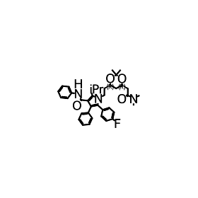 CC(C)c1c(C(=O)Nc2ccccc2)c(-c2ccccc2)c(-c2ccc(F)cc2)n1CC[C@@H]1C[C@H](CC(=O)N(C)C)OC(C)(C)O1